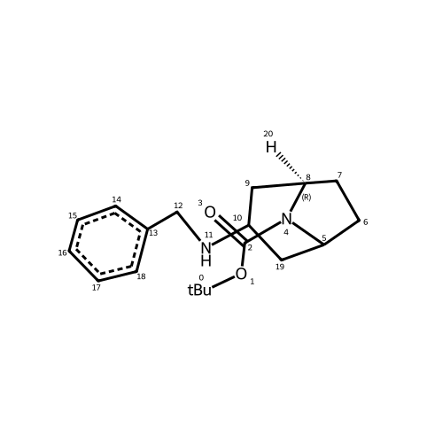 CC(C)(C)OC(=O)N1C2CC[C@@H]1CC(NCc1ccccc1)C2